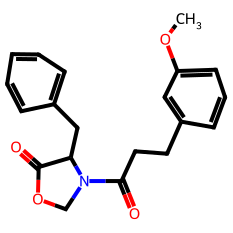 COc1cccc(CCC(=O)N2COC(=O)C2Cc2ccccc2)c1